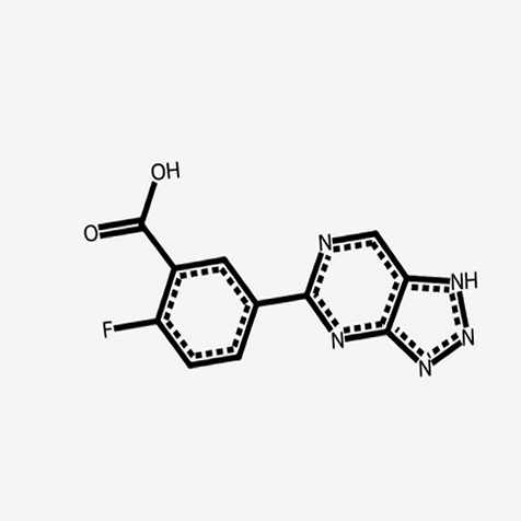 O=C(O)c1cc(-c2ncc3[nH]nnc3n2)ccc1F